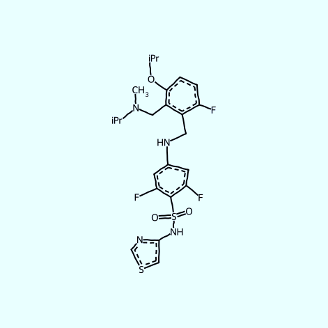 CC(C)Oc1ccc(F)c(CNc2cc(F)c(S(=O)(=O)Nc3cscn3)c(F)c2)c1CN(C)C(C)C